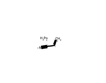 C=CC#N.[PoH2]